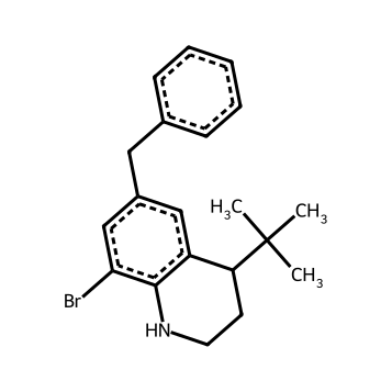 CC(C)(C)C1CCNc2c(Br)cc(Cc3ccccc3)cc21